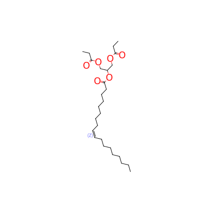 CCCCCCCC/C=C\CCCCCCCC(=O)OC(COC(=O)CC)COC(=O)CC